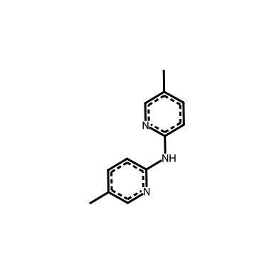 Cc1ccc(Nc2ccc(C)cn2)nc1